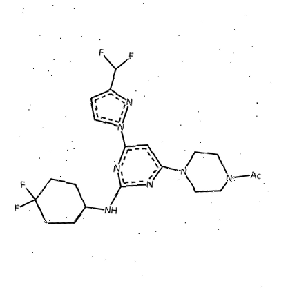 CC(=O)N1CCN(c2cc(-n3ccc(C(F)F)n3)nc(NC3CCC(F)(F)CC3)n2)CC1